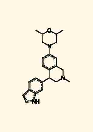 CC1CN(c2ccc3c(c2)CN(C)CC3c2ccc3cc[nH]c3c2)CC(C)O1